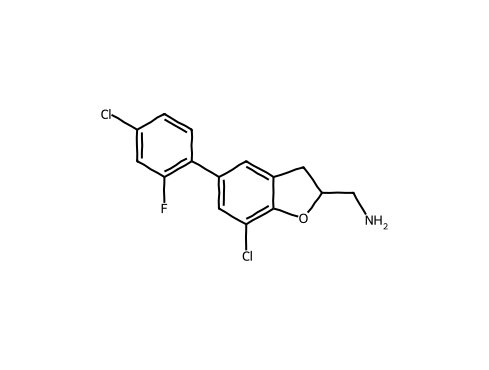 NCC1Cc2cc(-c3ccc(Cl)cc3F)cc(Cl)c2O1